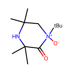 CC1(C)C[N+]([O-])(C(C)(C)C)C(=O)C(C)(C)N1